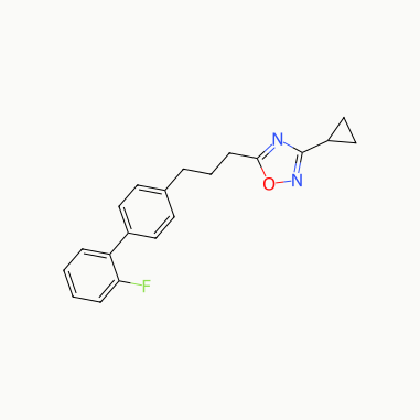 Fc1ccccc1-c1ccc(CCCc2nc(C3CC3)no2)cc1